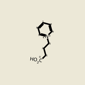 O=C(O)CCC[n+]1ccccc1